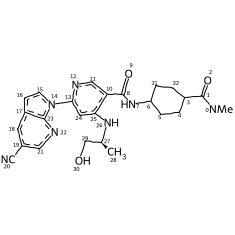 CNC(=O)C1CCC(NC(=O)c2cnc(-n3ccc4cc(C#N)cnc43)cc2N[C@@H](C)CO)CC1